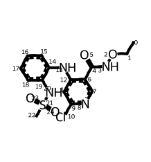 CCONC(=O)c1cnc(Cl)cc1Nc1ccccc1NS(C)(=O)=O